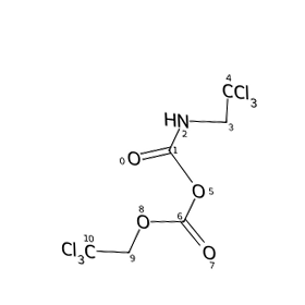 O=C(NCC(Cl)(Cl)Cl)OC(=O)OCC(Cl)(Cl)Cl